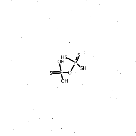 OP(O)(=S)OP(=S)(S)S